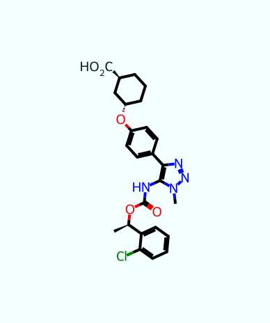 C[C@@H](OC(=O)Nc1c(-c2ccc(O[C@H]3CCC[C@H](C(=O)O)C3)cc2)nnn1C)c1ccccc1Cl